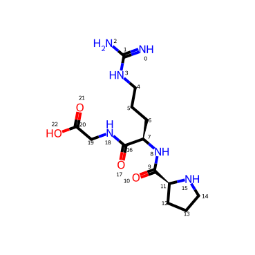 N=C(N)NCCC[C@@H](NC(=O)[C@@H]1CCCN1)C(=O)NCC(=O)O